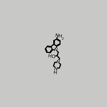 Nc1ccc2c(c1)c1ccccc1n2CC(O)CN1CCNCC1